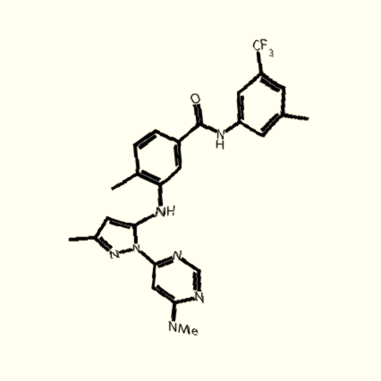 CNc1cc(-n2nc(C)cc2Nc2cc(C(=O)Nc3cc(C)cc(C(F)(F)F)c3)ccc2C)ncn1